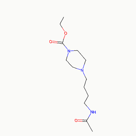 CCOC(=O)N1CCN(CCCCNC(C)=O)CC1